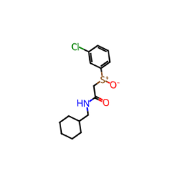 O=C(C[S+]([O-])c1cccc(Cl)c1)NCC1CCCCC1